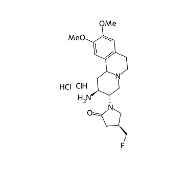 COc1cc2c(cc1OC)C1C[C@H](N)[C@@H](N3C[C@@H](CF)CC3=O)CN1CC2.Cl.Cl